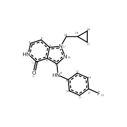 O=c1[nH]ccc2c1c(Nc1ccc(F)cc1)nn2CC1CC1